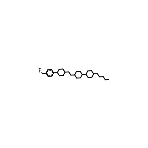 CCCCCC1CCC(C2CCC(CCC3CCC(c4ccc(CF)cc4)CC3)CC2)CC1